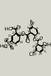 O=C(Oc1ccc(Br)cc1C(=O)Oc1ccc(S(=O)(=O)O)cc1C(=O)O)c1cc(Cl)ccc1O